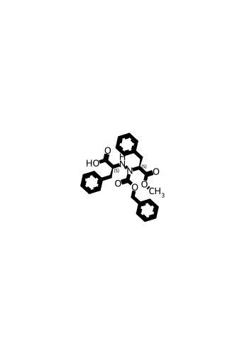 COC(=O)[C@H](Cc1ccccc1)N(N[C@@H](Cc1ccccc1)C(=O)O)C(=O)OCc1ccccc1